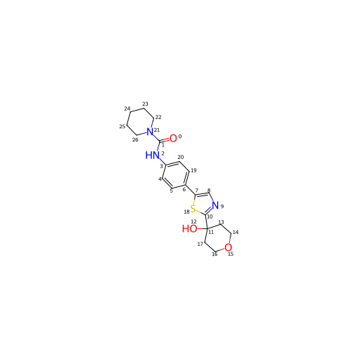 O=C(Nc1ccc(-c2cnc(C3(O)CCOCC3)s2)cc1)N1CCCCC1